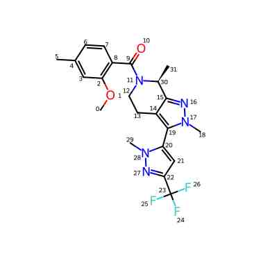 COc1cc(C)ccc1C(=O)N1CCc2c(nn(C)c2-c2cc(C(F)(F)F)nn2C)[C@@H]1C